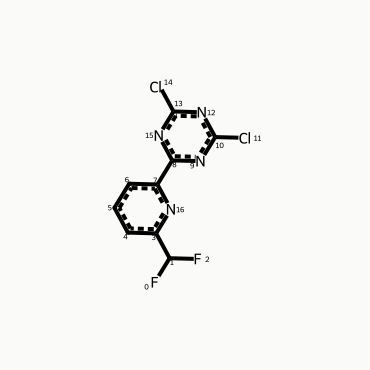 FC(F)c1cccc(-c2nc(Cl)nc(Cl)n2)n1